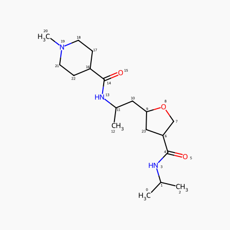 CC(C)NC(=O)C1COC(CC(C)NC(=O)C2CCN(C)CC2)C1